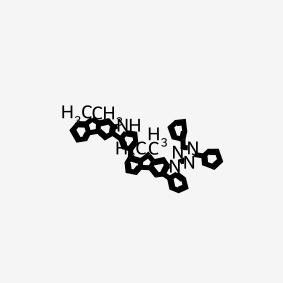 CC1(C)c2ccccc2-c2cc3c(cc21)[nH]c1ccc(-c2cccc4c2C(C)(C)c2cc5c(cc2-4)c2ccccc2n5-c2nc(-c4ccccc4)nc(-c4ccccc4)n2)cc13